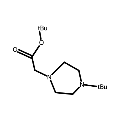 CC(C)(C)OC(=O)CN1CCN(C(C)(C)C)CC1